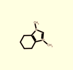 Cn1c[n+](C)c2c1CCCC2